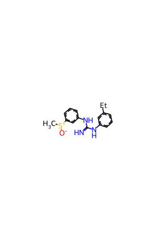 CCc1cccc(NC(=N)Nc2cccc([S+](C)[O-])c2)c1